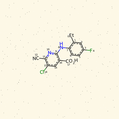 CCc1cc(F)ccc1Nc1nc(C#N)c(Cl)cc1C(=O)O